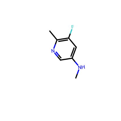 CNc1cnc(C)c(F)c1